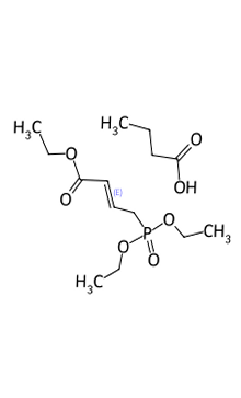 CCCC(=O)O.CCOC(=O)/C=C/CP(=O)(OCC)OCC